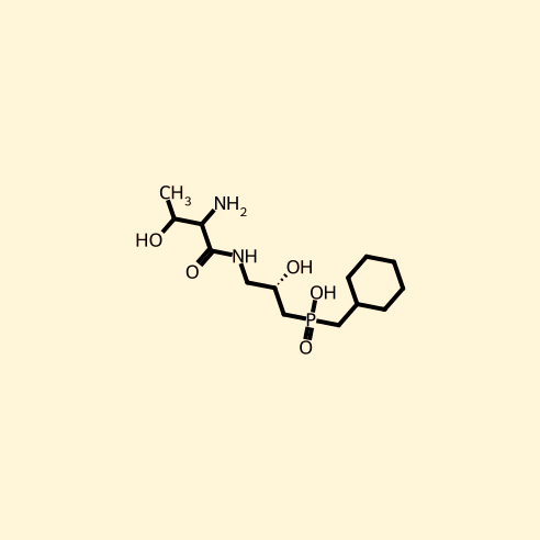 CC(O)C(N)C(=O)NC[C@H](O)CP(=O)(O)CC1CCCCC1